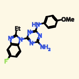 CCc1nc2cc(F)ccc2n1-c1nc(N)nc(Nc2ccc(OC)cc2)n1